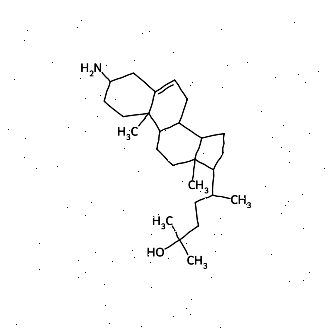 CC(CCC(C)(C)O)C1CCC2C3CC=C4CC(N)CCC4(C)C3CCC12C